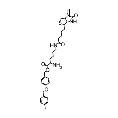 Cc1ccc(COc2ccc(COC(=O)C(N)CCCCNC(=O)CCCCC3SCC4NC(=O)NC43)cc2)cc1